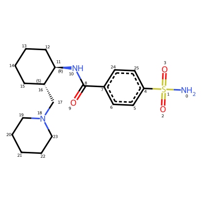 NS(=O)(=O)c1ccc(C(=O)N[C@@H]2CCCC[C@H]2CN2CCCCC2)cc1